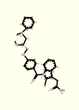 CO[C@@H](COc1ccc(C(=O)n2c(C)c(CC(=O)O)c3ccccc32)cc1)CN(C)c1ccccc1